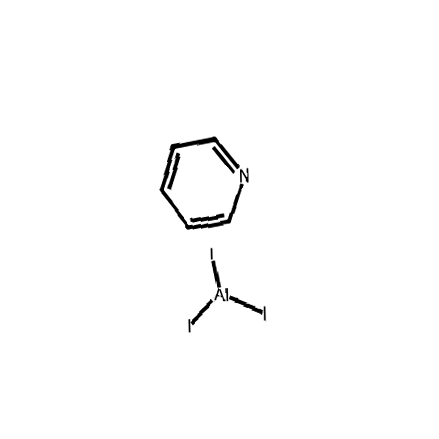 [I][Al]([I])[I].c1ccncc1